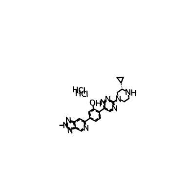 Cl.Cl.Cn1nc2cnc(-c3ccc(-c4cnc(N5CCN[C@@H](C6CC6)C5)nn4)c(O)c3)cc2n1